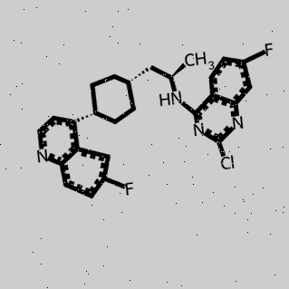 C[C@H](C[C@H]1CC[C@@H](c2ccnc3ccc(F)cc32)CC1)Nc1nc(Cl)nc2cc(F)ccc12